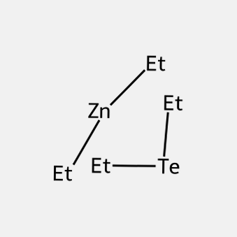 CC[Te]CC.C[CH2][Zn][CH2]C